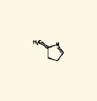 C=C1CCC=N1